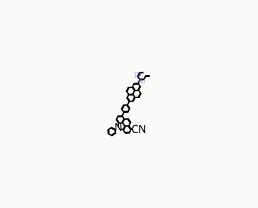 C=C/C=C(\C=C/C)c1cc2ccc3cc(-c4ccc(-c5ccc6c7c5ccc5c(C#N)ccc(c57)n6-c5ccccc5)cc4)cc4ccc(c1)c2c34